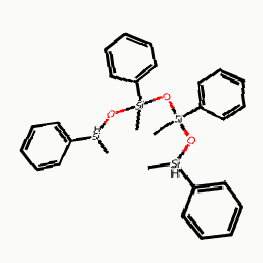 C[SiH](O[Si](C)(O[Si](C)(O[SiH](C)c1ccccc1)c1ccccc1)c1ccccc1)c1ccccc1